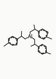 Cc1ccc(C(C)[CH2][Al]([CH2]C(C)c2ccc(C)cc2)[CH2]C(C)c2ccc(C)cc2)cc1